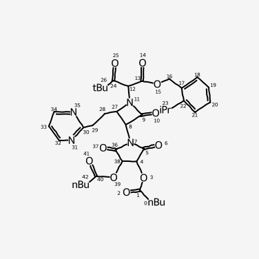 CCCCC(=O)OC1C(=O)N(C2C(=O)N(C(C(=O)OCc3ccccc3C(C)C)C(=O)C(C)(C)C)C2CCc2ncccn2)C(=O)C1OC(=O)CCCC